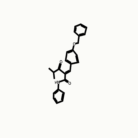 CC(C)C(=O)/C(=C\c1ccc(OCc2ccccc2)cc1)C(=O)Nc1ccccc1